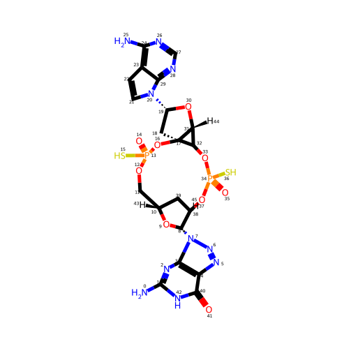 Nc1nc2c(nnn2[C@@H]2O[C@@H]3COP(=O)(S)O[C@@]45C[C@H](n6ccc7c(N)ncnc76)O[C@@H]4C5OP(=O)(S)O[C@H]2C3)c(=O)[nH]1